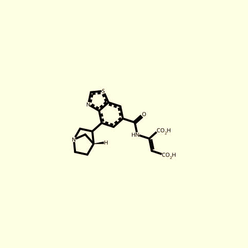 O=C(O)/C=C(/NC(=O)c1cc(C2CN3CC[C@@H]2C3)c2ncsc2c1)C(=O)O